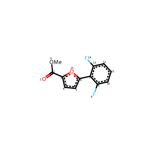 COC(=O)c1ccc(-c2c(F)cccc2F)o1